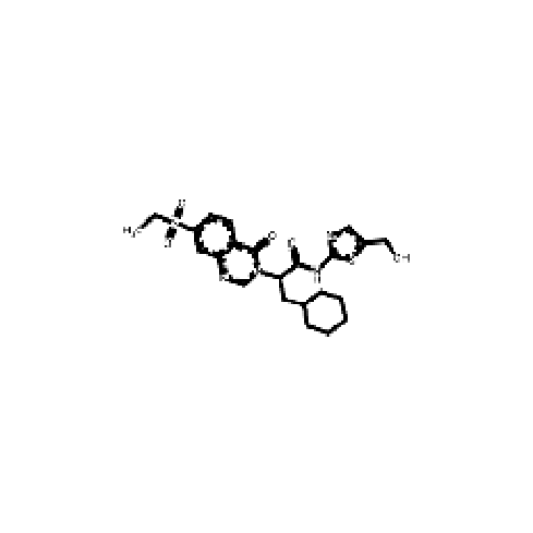 CCS(=O)(=O)c1ccc2c(=O)n(C(CC3CCCCC3)C(=O)Nc3ncc(CO)s3)cnc2c1